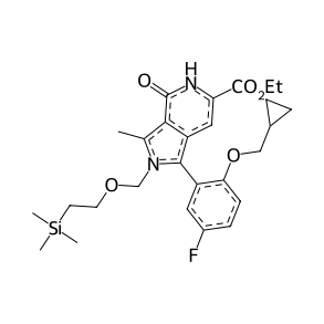 CCOC(=O)c1cc2c(-c3cc(F)ccc3OCC3CC3)n(COCC[Si](C)(C)C)c(C)c2c(=O)[nH]1